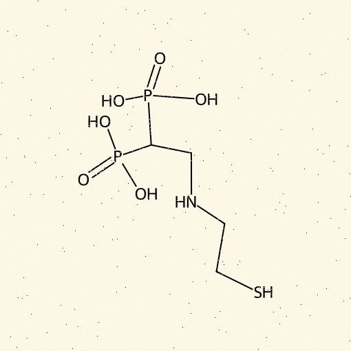 O=P(O)(O)C(CNCCS)P(=O)(O)O